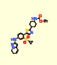 CC(C)OC(=O)NC1CCC(c2ncc(-c3ccc(Nc4cc5n(n4)CCC=C5)cc3S(=O)(=O)C3CC3)s2)CC1